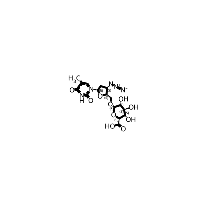 Cc1cn([C@H]2C[C@H](N=[N+]=[N-])[C@@H](CO[C@@H]3O[C@H](C(=O)O)[C@@H](O)[C@H](O)[C@H]3O)O2)c(=O)[nH]c1=O